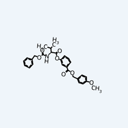 COc1ccc(COC(=O)c2cccc(OC(=O)[C@@H](NC(=O)OCc3ccccc3)C(C)C)c2)cc1